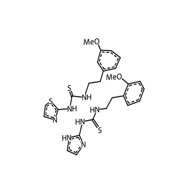 COc1cccc(CCNC(=S)Nc2nccs2)c1.COc1ccccc1CCNC(=S)Nc1ncc[nH]1